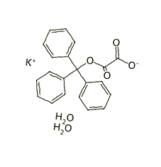 O.O.O=C([O-])C(=O)OC(c1ccccc1)(c1ccccc1)c1ccccc1.[K+]